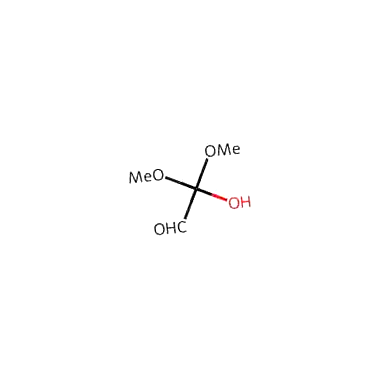 COC(O)(C=O)OC